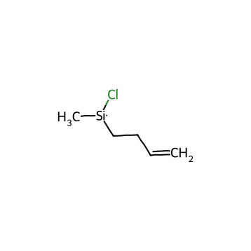 C=CCC[Si](C)Cl